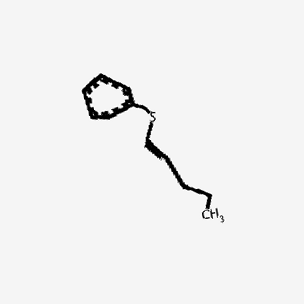 CCCC=CSc1ccccc1